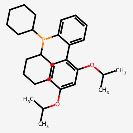 CC(C)Oc1ccc(-c2ccccc2P(C2CCCCC2)C2CCCCC2)c(OC(C)C)c1